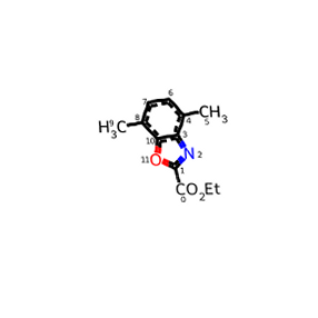 CCOC(=O)c1nc2c(C)ccc(C)c2o1